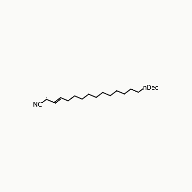 CCCCCCCCCCCCCCCCCCCCCC=C[CH]C#N